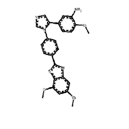 COc1cc(OC)c2sc(-c3ccc(-n4cncc4-c4ccc(OC)c(N)c4)cc3)nc2c1